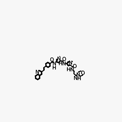 Cn1cc(NC(=O)c2cc(NC(=O)c3ccc(/C=C/c4cnc5ccccc5c4)cc3)cn2C)cc1C(=O)NCCC(=N)N1CCOCC1